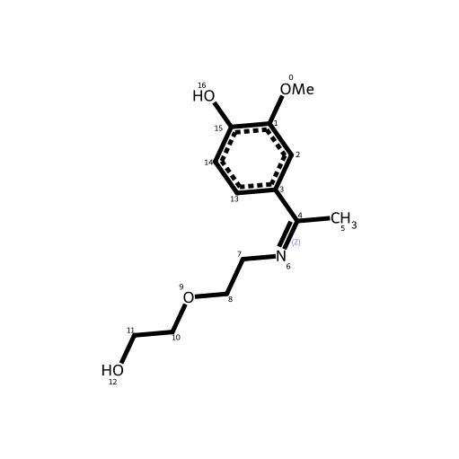 COc1cc(/C(C)=N\CCOCCO)ccc1O